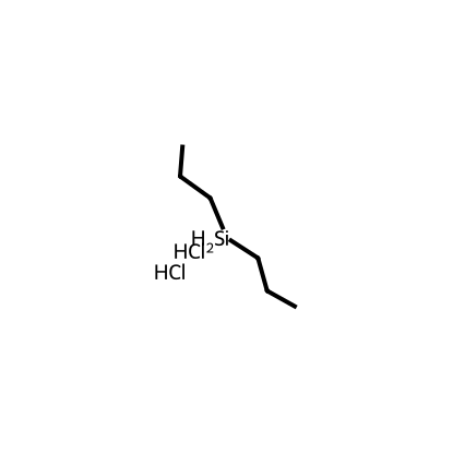 CCC[SiH2]CCC.Cl.Cl